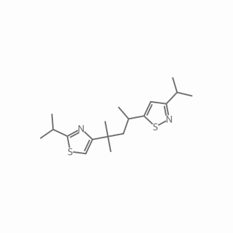 CC(C)c1cc(C(C)CC(C)(C)c2csc(C(C)C)n2)sn1